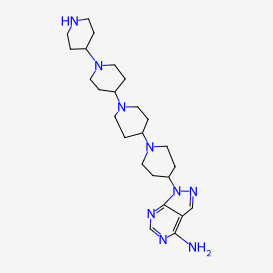 Nc1ncnc2c1cnn2C1CCN(C2CCN(C3CCN(C4CCNCC4)CC3)CC2)CC1